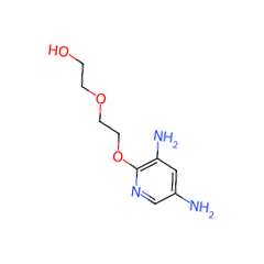 Nc1cnc(OCCOCCO)c(N)c1